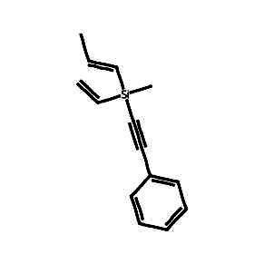 C=C[Si](C)(C#Cc1ccccc1)C=CC